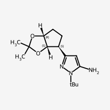 CC1(C)O[C@@H]2[C@@H](CC[C@H]2c2cc(N)n(C(C)(C)C)n2)O1